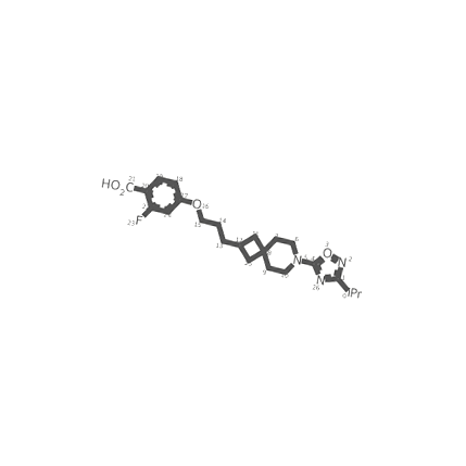 CC(C)c1noc(N2CCC3(CC2)CC(CCCOc2ccc(C(=O)O)c(F)c2)C3)n1